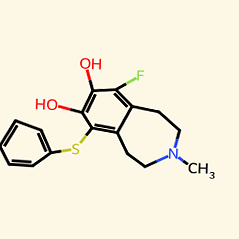 CN1CCc2c(F)c(O)c(O)c(Sc3ccccc3)c2CC1